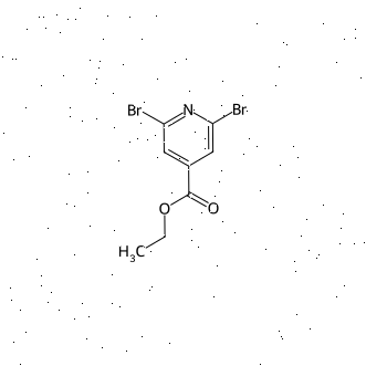 CCOC(=O)c1cc(Br)nc(Br)c1